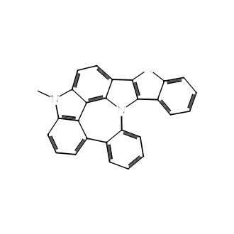 Cn1c2cccc3c4ccccc4n4c5c6ccccc6sc5c5ccc1c(c32)c54